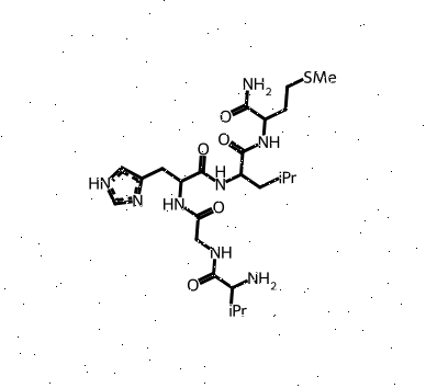 CSCCC(NC(=O)C(CC(C)C)NC(=O)C(Cc1c[nH]cn1)NC(=O)CNC(=O)C(N)C(C)C)C(N)=O